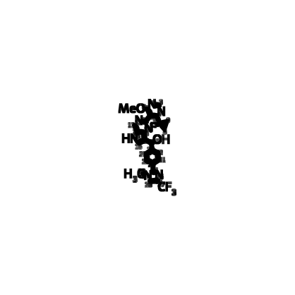 COc1ncnc(C2(F)CC2)c1-c1ncc2[nH]cc(C(O)c3ccc(-c4nc(C(F)(F)F)cn4C)cc3)c2n1